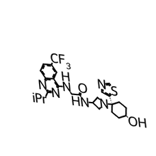 CC(C)c1nc(NCC(=O)NC2CN([C@]3(c4cncs4)CC[C@@H](O)CC3)C2)c2cc(C(F)(F)F)ccc2n1